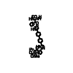 CCC[C@H](NC(=O)O)C(=O)N1CCC[C@H]1c1ncc(-c2ccc(-c3ccc(-c4cnc(C5CCCN5C(=O)[C@@H](NC(=O)OC)C(C)C)[nH]4)cc3)cc2)[nH]1